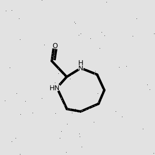 O=CC1NCCCCCN1